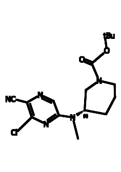 CN(c1cnc(C#N)c(Cl)n1)[C@H]1CCCN(C(=O)OC(C)(C)C)C1